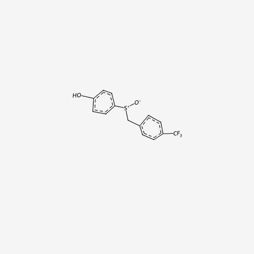 [O-][S+](Cc1ccc(C(F)(F)F)cc1)c1ccc(O)cc1